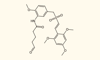 COc1cc(OC)c(/C=C/S(=O)(=O)Cc2ccc(OC)c(NC(=O)CCCC=O)c2)c(OC)c1